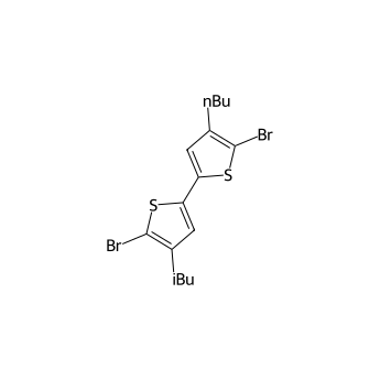 CCCCc1cc(-c2cc(C(C)CC)c(Br)s2)sc1Br